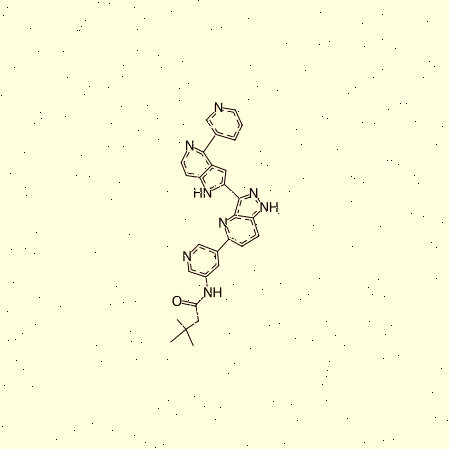 CC(C)(C)CC(=O)Nc1cncc(-c2ccc3[nH]nc(-c4cc5c(-c6cccnc6)nccc5[nH]4)c3n2)c1